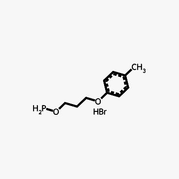 Br.Cc1ccc(OCCCOP)cc1